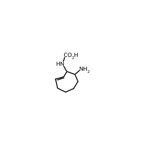 NC1CCCC/C=C/C1NC(=O)O